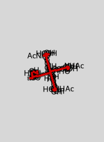 CC(=O)NC1C(OCCOCCOCCNC(=O)CCOCC(COCCC(=O)NCCOCCOCCOC2OC(CO)C(O)C(O)C2NC(C)=O)(COCCC(=O)NCCOCCOCCOC2OC(CO)C(O)C(O)C2NC(C)=O)NC(=O)CCCCCCCCCCC(=O)NCCOC2(OCCNC(=O)OCc3ccccc3)CCCCC2)OC(CO)C(O)C1O